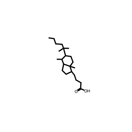 CCCCC(C)(C)C1CCC2(C)C(CCCC(=O)O)CCC2C1C